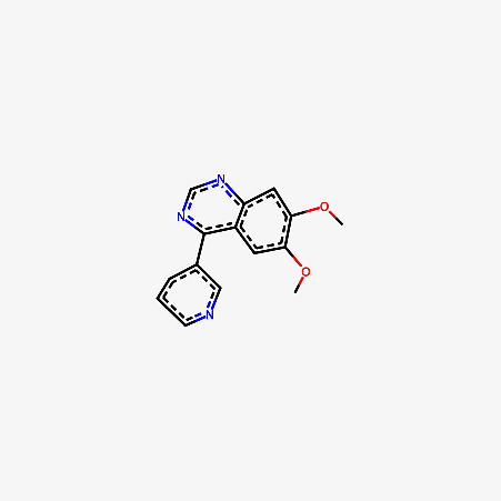 COc1cc2ncnc(-c3cccnc3)c2cc1OC